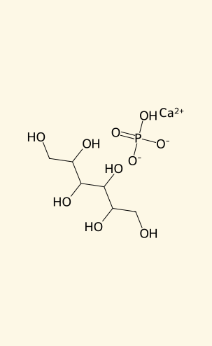 O=P([O-])([O-])O.OCC(O)C(O)C(O)C(O)CO.[Ca+2]